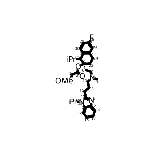 COCC(=O)O[C@]1(CCN(C)CCCc2nc3ccccc3n2C(C)C)CCc2cc(F)ccc2C1C(C)C